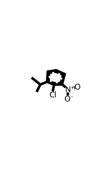 CC(C)c1cccc([N+](=O)[O-])c1Cl